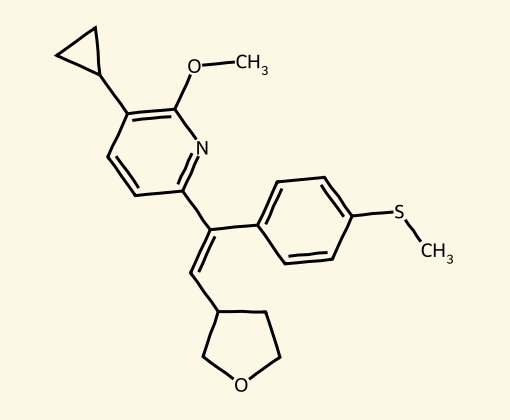 COc1nc(C(=CC2CCOC2)c2ccc(SC)cc2)ccc1C1CC1